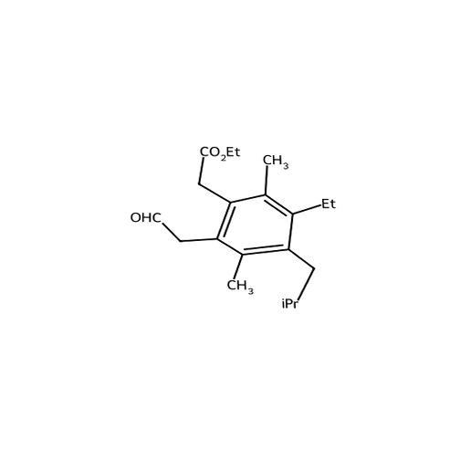 CCOC(=O)Cc1c(C)c(CC)c(CC(C)C)c(C)c1CC=O